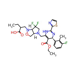 CCOC(=O)C1=C(CN2CC(F)(F)[C@H]3[C@@H]2CON3CC(CC)C(=O)O)NC(c2nccs2)=N[C@H]1c1cccc(F)c1C